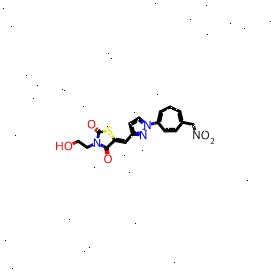 O=C1S/C(=C\c2ccn(C3=CCC=C(C[N+](=O)[O-])C=C3)n2)C(=O)N1CCO